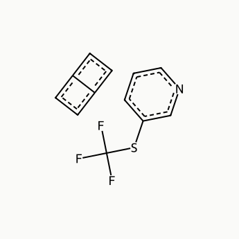 FC(F)(F)Sc1cccnc1.c1cc2ccc1-2